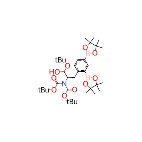 CC(C)(C)OC(=O)N(C(=O)OC(C)(C)C)[C@H](Cc1ccc(B2OC(C)(C)C(C)(C)O2)cc1B1OC(C)(C)C(C)(C)O1)C(O)OC(C)(C)C